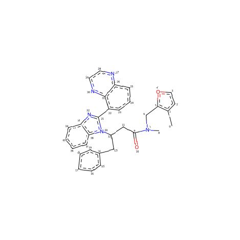 Cc1ccoc1CN(C)C(=O)CC(Cc1ccccc1)n1c(-c2cccc3nccnc23)nc2ccccc21